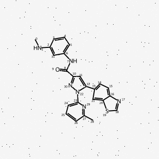 CNc1cccc(NC(=O)c2cc(-c3ccc4ncsc4c3)n(-c3cccc(C)n3)n2)c1